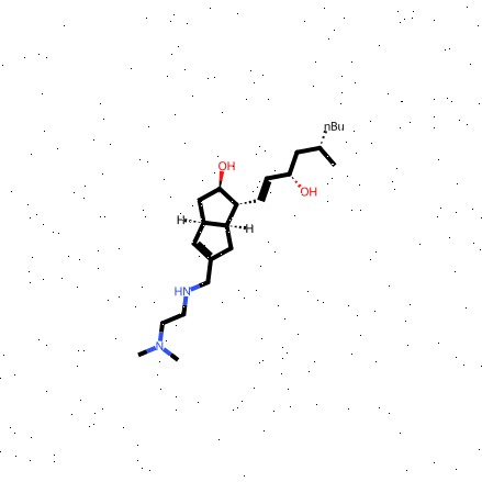 CCCC[C@H](C)C[C@H](O)/C=C/[C@@H]1[C@H]2CC(CNCCN(C)C)=C[C@H]2C[C@H]1O